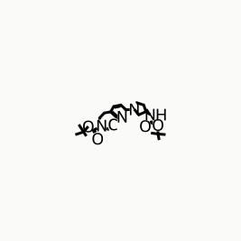 CC(C)(C)OC(=O)NC1CCN(c2ccc3c(n2)CCN(C(=O)OC(C)(C)C)CC3)C1